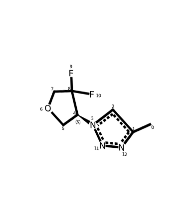 Cc1cn([C@H]2COCC2(F)F)nn1